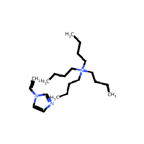 C=Cn1ccnc1.CCCC[N+](CCCC)(CCCC)CCCC